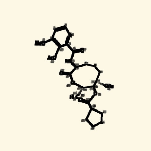 COc1ccnc(C(=O)N[C@H]2CCC[C@H](OCC(C)C)[C@@H](OC(=O)C3CCCC3)[C@H](C)OC2=O)c1OC(C)=O